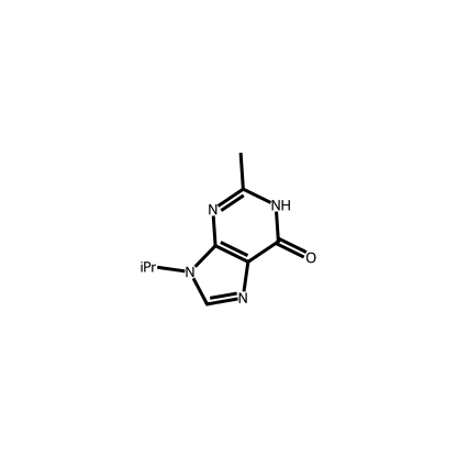 Cc1nc2c(ncn2C(C)C)c(=O)[nH]1